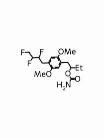 CCC(Cc1cc(OC)c(CC(F)C(F)CF)cc1OC)OC(N)=O